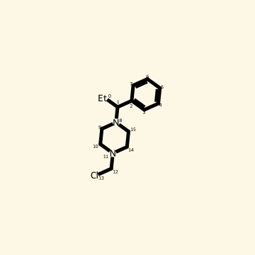 CCC(c1ccccc1)N1CCN(CCl)CC1